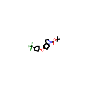 CC(C)(C)OC(=O)N1CCc2cc(O[C@H]3CC[C@H](C(F)(F)F)CC3)ccc21